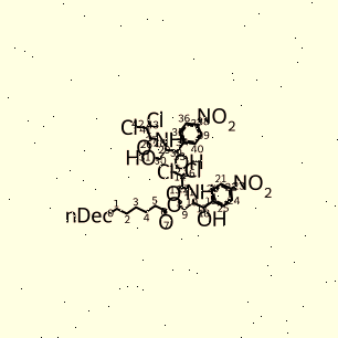 CCCCCCCCCCCCCCCC(=O)OC[C@@H](NC(=O)C(Cl)Cl)[C@H](O)c1ccc([N+](=O)[O-])cc1.O=C(N[C@H](CO)[C@H](O)c1ccc([N+](=O)[O-])cc1)C(Cl)Cl